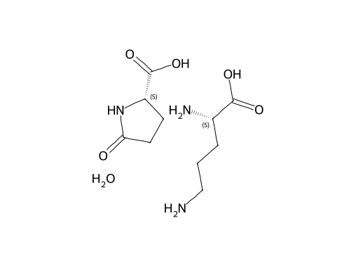 NCCC[C@H](N)C(=O)O.O.O=C1CC[C@@H](C(=O)O)N1